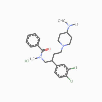 CCN(C=O)C1CCN(CCC(CN(C)C(=O)c2ccccc2)c2ccc(Cl)c(Cl)c2)CC1.Cl